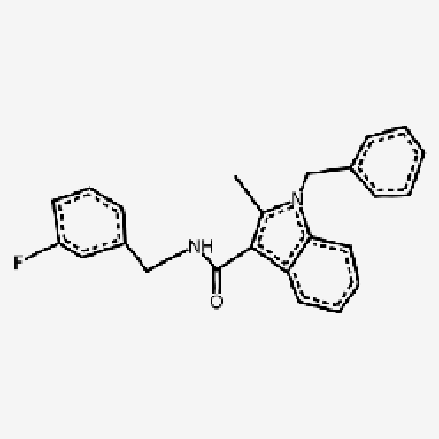 Cc1c(C(=O)NCc2cccc(F)c2)c2ccccc2n1Cc1ccccc1